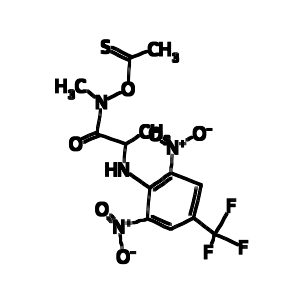 CC(=S)ON(C)C(=O)C(C)Nc1c([N+](=O)[O-])cc(C(F)(F)F)cc1[N+](=O)[O-]